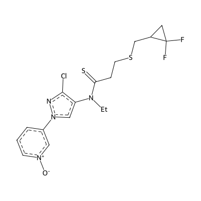 CCN(C(=S)CCSCC1CC1(F)F)c1cn(-c2ccc[n+]([O-])c2)nc1Cl